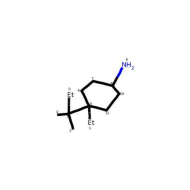 CCC(C)(C)C1(CC)CCC(N)CC1